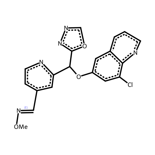 CO/N=C/c1ccnc(C(Oc2cc(Cl)c3ncccc3c2)c2nnco2)c1